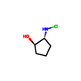 O[C@@H]1CCC[C@H]1NCl